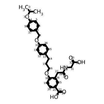 CC(C)Oc1ccc(COc2ccc(CCCOc3ccc(C(=O)O)cc3CC(=O)NCC(=O)O)cc2)cc1